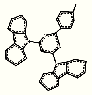 Cc1ccc(-c2nc(-n3c4ccccc4c4ccccc43)cc(-n3c4ccccc4c4ccccc43)n2)cc1